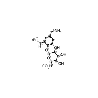 CC(C)(C)Nc1cc(CN)ccc1OC1OC(C(=O)O)C(O)C(O)C1O